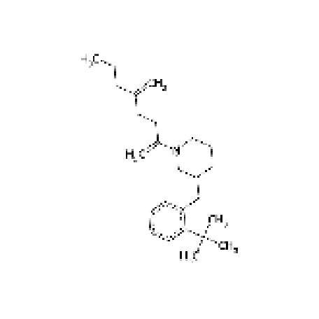 C=C(CCC)CCC(=C)N1CCCC(Cc2ccccc2C(C)(C)C)C1